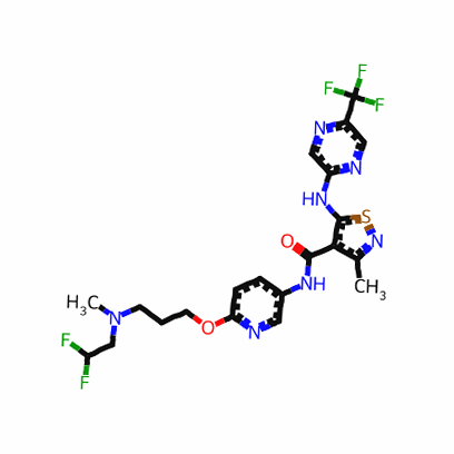 Cc1nsc(Nc2cnc(C(F)(F)F)cn2)c1C(=O)Nc1ccc(OCCCN(C)CC(F)F)nc1